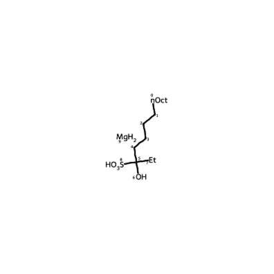 CCCCCCCCCCCCC(O)(CC)S(=O)(=O)O.[MgH2]